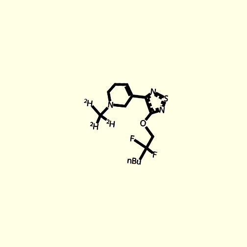 [2H]C([2H])([2H])N1CCC=C(c2nsnc2OCC(F)(F)CCCC)C1